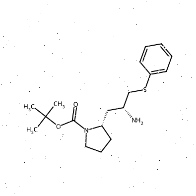 CC(C)(C)OC(=O)N1CCC[C@H]1C[C@@H](N)CSc1ccccc1